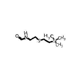 C[Si](C)(C)CCSCCNC=O